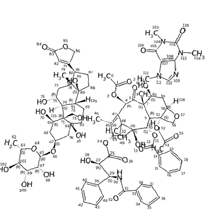 CC(=O)O[C@H]1C(=O)[C@@]2(C)[C@H]([C@H](OC(=O)c3ccccc3)[C@]3(O)C[C@H](OC(=O)[C@H](O)[C@@H](NC(=O)c4ccccc4)c4ccccc4)C(C)=C1C3(C)C)[C@]1(OC(C)=O)CO[C@@H]1C[C@@H]2O.C[C@@H]1O[C@@H](O[C@H]2C[C@@H](O)[C@]3(CO)[C@H]4[C@H](O)C[C@]5(C)[C@@H](C6=CC(=O)OC6)CC[C@]5(O)[C@@H]4CC[C@]3(O)C2)[C@H](O)[C@H](O)[C@H]1O.Cn1c(=O)c2c(ncn2C)n(C)c1=O